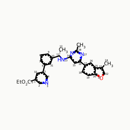 CCOC(=O)c1cncc(-c2cccc([C@H](C)Nc3cc(-c4ccc5occ(C)c5c4)nc(C)n3)c2)c1